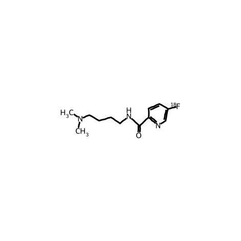 CN(C)CCCCNC(=O)c1ccc([18F])cn1